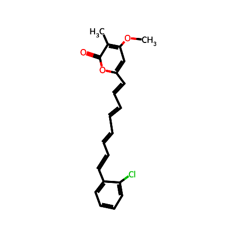 COc1cc(/C=C/C=C/C=C/C=C/c2ccccc2Cl)oc(=O)c1C